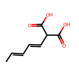 CC=CC=CC(C(=O)O)C(=O)O